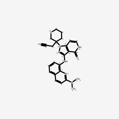 CN(C)c1ccc2cccc(Nc3nn(C4(CC#N)CCCOC4)c4cc[nH]c(=O)c34)c2n1